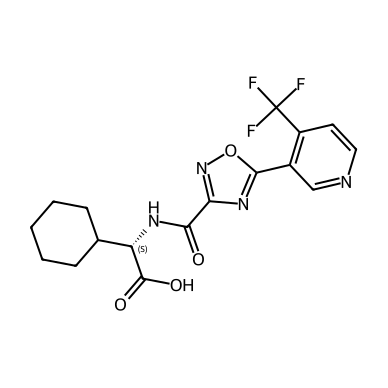 O=C(N[C@H](C(=O)O)C1CCCCC1)c1noc(-c2cnccc2C(F)(F)F)n1